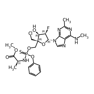 CNc1nc(C)nc2c1ncn2[C@@H]1O[C@](CCl)(COP(=S)(N[C@@H](C)C(=O)OC)Oc2ccccc2)[C@@H](O)[C@H]1F